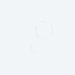 CCCC1CCCCC1CNC